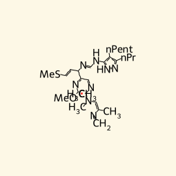 C=N/C(C)=C\N(C)C(C)/N=C\C(=N/C(C)OC)C(/C=C/SC)/N=C/Nc1[nH]nc(CCC)c1CCCCC